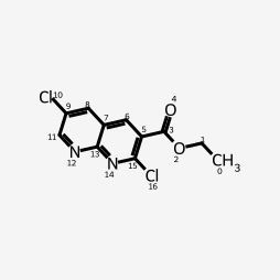 CCOC(=O)c1cc2cc(Cl)cnc2nc1Cl